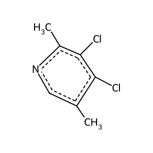 Cc1cnc(C)c(Cl)c1Cl